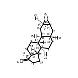 C[C@]12C[C@@H]3CC[C@@H]4[C@H](CC[C@]5(C)C(=O)CC[C@@H]45)[C@H]3C[C@H]1O2